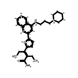 CC/C(C(N)=O)=C(/CC)c1ccc(-c2cc(NCCCN3CCCCC3)c3cnccc3n2)o1